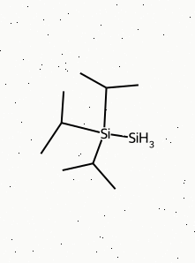 CC(C)[Si]([SiH3])(C(C)C)C(C)C